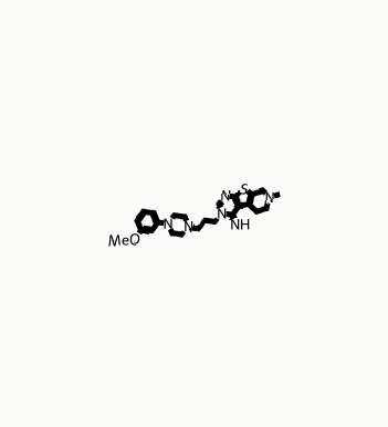 COc1cccc(N2CCN(CCCn3cnc4sc5c(c4c3=N)CCN(C)C5)CC2)c1